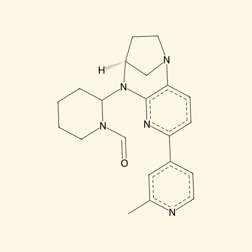 Cc1cc(-c2ccc3c(n2)N(C2CCCCN2C=O)[C@H]2CCN3C2)ccn1